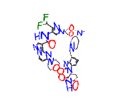 CN(C[C@H]1OC[C@H](n2cc(NC(=O)c3cnn4ccc(N5CCOCC5)nc34)c(C(F)F)n2)CO1)C1CCN(Cc2cccc3c2n(C)c(=O)n3C2CCC(=O)NC2=O)CC1